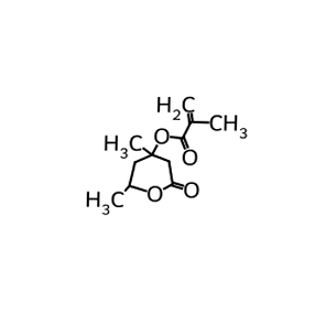 C=C(C)C(=O)OC1(C)CC(=O)OC(C)C1